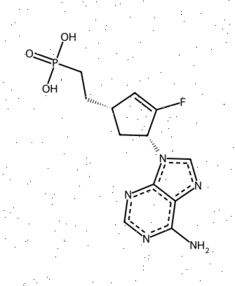 Nc1ncnc2c1ncn2[C@@H]1C[C@H](CCP(=O)(O)O)C=C1F